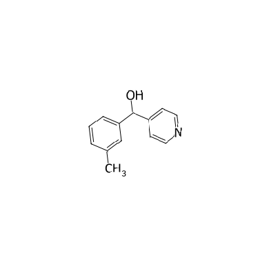 Cc1cccc(C(O)c2ccncc2)c1